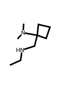 CCNCC1(N(C)C)CCC1